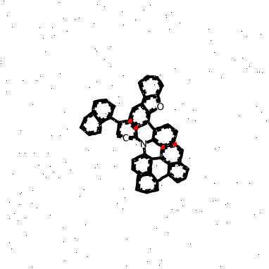 c1ccc(-c2cccc3cccc(-c4ccccc4N(c4ccc(-c5cccc6ccccc56)cc4)c4ccccc4-c4cccc5c4oc4ccccc45)c23)cc1